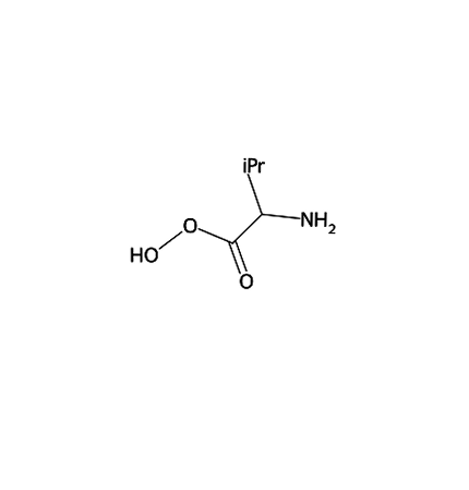 CC(C)C(N)C(=O)OO